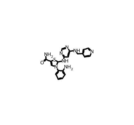 NC(=O)C1=CN(c2ccccc2N)C(Nc2cc(NCc3ccncc3)ncn2)S1